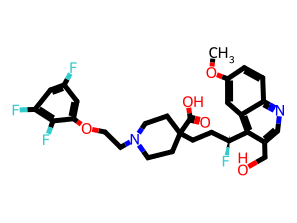 COc1ccc2ncc(CO)c([C@@H](F)CCC3(C(=O)O)CCN(CCOc4cc(F)cc(F)c4F)CC3)c2c1